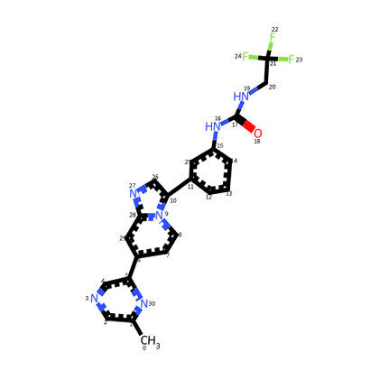 Cc1cncc(-c2ccn3c(-c4cccc(NC(=O)NCC(F)(F)F)c4)cnc3c2)n1